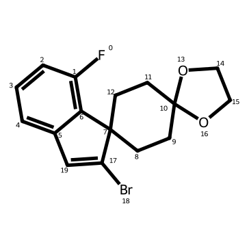 Fc1cccc2c1C1(CCC3(CC1)OCCO3)C(Br)=C2